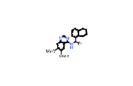 CC[C@@H](Nc1ncnc2cc(OC)c(OC)cc12)c1cccc2ccccc12